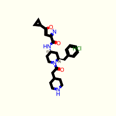 Cl.O=C(N[C@H]1CCN(C(=O)CC2CCNCC2)[C@H](Cc2ccccc2)C1)c1cc(C2CC2)on1